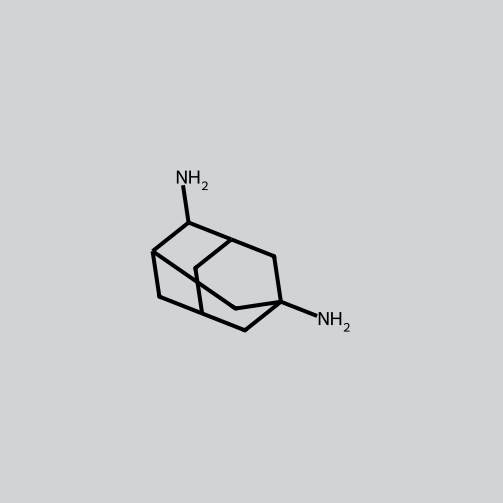 NC1C2CC3CC1CC(N)(C3)C2